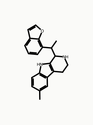 Cc1ccc2[nH]c3c(c2c1)CCNC3C(C)c1cccc2ccoc12